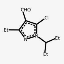 CCc1nn(C(CC)CC)c(Cl)c1C=O